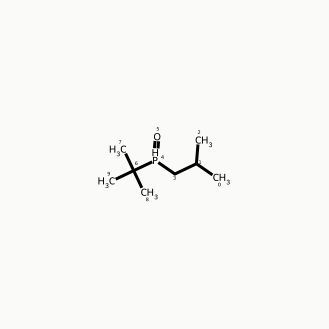 CC(C)C[PH](=O)C(C)(C)C